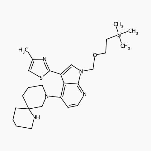 Cc1csc(-c2cn(COCC[Si](C)(C)C)c3nccc(N4CCCC5(CCCCN5)C4)c23)n1